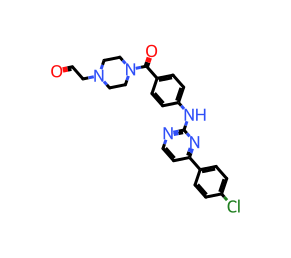 O=CCN1CCN(C(=O)c2ccc(Nc3nccc(-c4ccc(Cl)cc4)n3)cc2)CC1